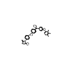 C=C1CCC(=O)N1c1ccc(COc2ccc(C(=O)c3ccc(OC4=CCC(C)=C(C)C4C)cc3)cc2)cc1